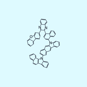 c1ccc2c(c1)ccc1c3ccccc3n(-c3ccc4cc5c(cc4c3)c3ccccc3n5-c3ccc(-c4nc5ccccc5nc4-c4ccc5c(c4)oc4ccccc45)c4ccccc34)c21